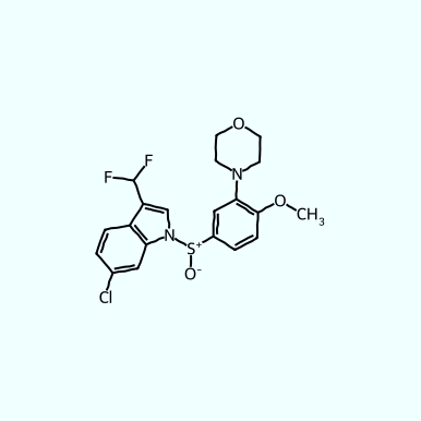 COc1ccc([S+]([O-])n2cc(C(F)F)c3ccc(Cl)cc32)cc1N1CCOCC1